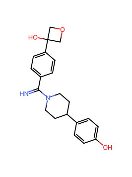 N=C(c1ccc(C2(O)COC2)cc1)N1CCC(c2ccc(O)cc2)CC1